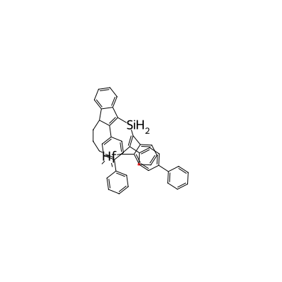 [CH3][Hf]1([CH3])[CH2]CCC2C(c3ccc(-c4ccccc4)cc3)=C([SiH2]C3=C(c4ccc(-c5ccccc5)cc4)[CH]1c1ccccc13)c1ccccc12